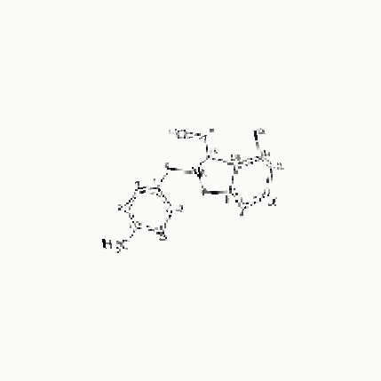 Cc1ccc(CN2Cc3cccc(I)c3C2C=O)cc1